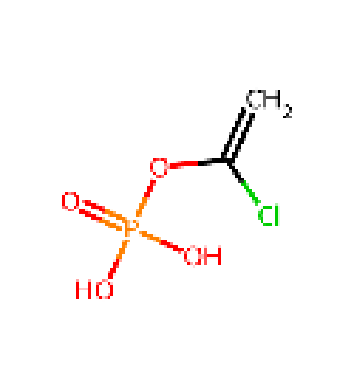 C=C(Cl)OP(=O)(O)O